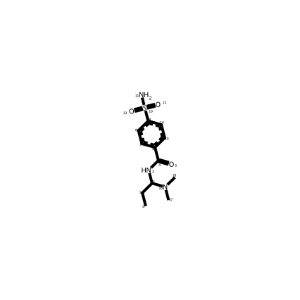 CCC(NC(=O)c1ccc(S(N)(=O)=O)cc1)N(C)C